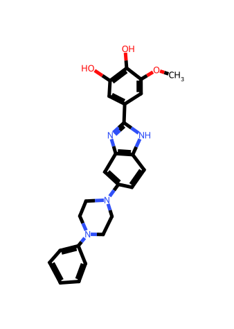 COc1cc(-c2nc3cc(N4CCN(c5ccccc5)CC4)ccc3[nH]2)cc(O)c1O